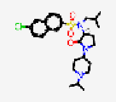 CC(C)CN([C@H]1CCN(C2CCN(C(C)C)CC2)C1=O)S(=O)(=O)c1ccc2cc(Cl)ccc2c1